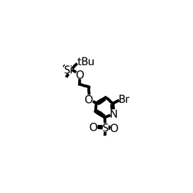 CC(C)(C)[Si](C)(C)OCCOc1cc(Br)nc(S(C)(=O)=O)c1